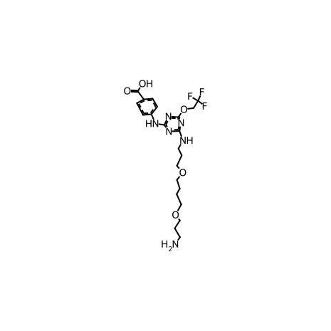 NCCCOCCCCOCCCNc1nc(Nc2ccc(C(=O)O)cc2)nc(OCC(F)(F)F)n1